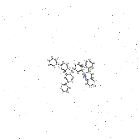 c1ccc(-c2ccc3c(c2)-c2cc(-c4ccccc4)ccc2C3c2ccc3c(c2)C2=Nc4ccccc4CC2c2ccccc2-3)cc1